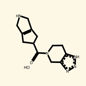 Cl.O=C(C1CC2=C(CNC2)C1)N1CCc2[nH]nnc2C1